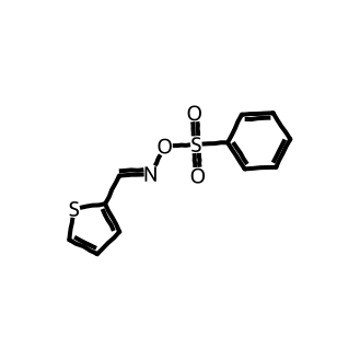 O=S(=O)(ON=Cc1cccs1)c1ccccc1